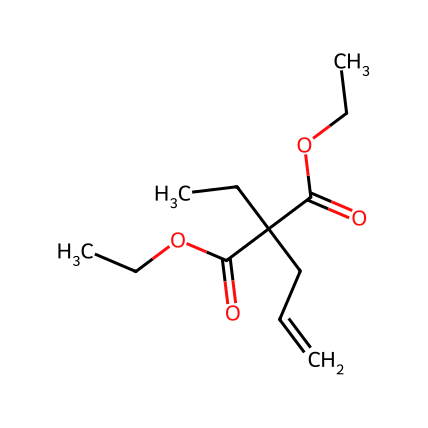 C=CCC(CC)(C(=O)OCC)C(=O)OCC